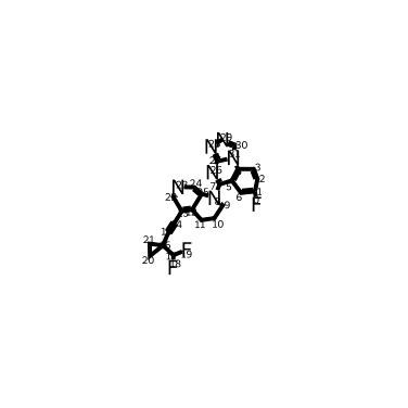 Fc1ccc2c(c1)c(N1CCCc3c(C#CC4(C(F)F)CC4)cncc31)nc1nncn12